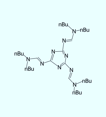 CCCCN(C=Nc1nc(N=CN(CCCC)CCCC)nc(N=CN(CCCC)CCCC)n1)CCCC